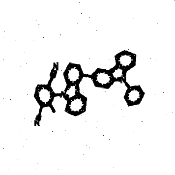 Cc1c(C#N)ccc(C#N)c1-n1c2ccccc2c2c(-c3ccc4c(c3)c3ccccc3n4-c3ccccc3)cccc21